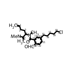 C=CCCC(C(=C)NC)N(C)C(=O)c1cc(CCCCCCl)ccc1C=O